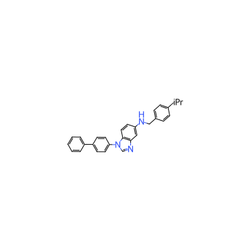 CC(C)c1ccc(CNc2ccc3c(c2)ncn3-c2ccc(-c3ccccc3)cc2)cc1